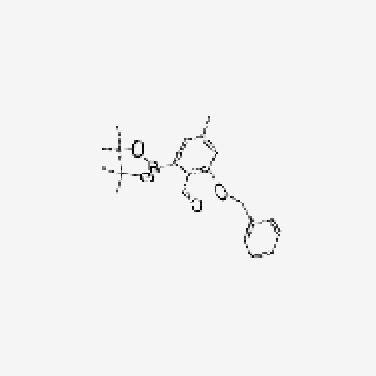 Cc1cc(OCc2ccccc2)c(C=O)c(B2OC(C)(C)C(C)(C)O2)c1